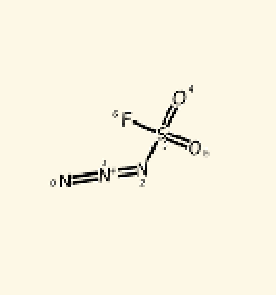 [N-]=[N+]=NS(=O)(=O)F